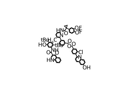 CC(C)(C)c1cc(C(C)(C)C)c(NC(=O)c2c[nH]c3ccccc3c2=O)cc1O.Cc1ccc(NC(=O)C2(c3ccc4c(c3)OC(F)(F)O4)CC2)nc1-c1cccc(C(=O)OC(=O)c2ccc(-c3ccc4cc(O)ccc4n3)c(Cl)c2)c1